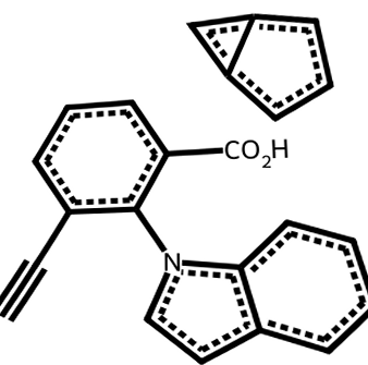 C#Cc1cccc(C(=O)O)c1-n1ccc2ccccc21.c1cc2cc-2c1